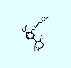 COCCCOc1cc(C2CNCCC2=O)ccc1OC